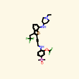 CCN1CCC(Nc2cccc3c(CC(F)(F)F)c(C#CCNc4ccc(P(C)(C)=O)cc4OC(F)F)sc23)CC1